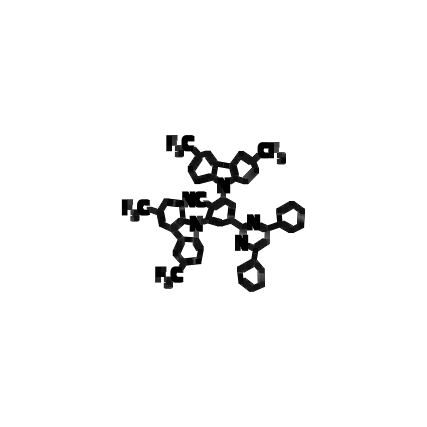 N#Cc1c(-n2c3ccc(C(F)(F)F)cc3c3cc(C(F)(F)F)ccc32)cc(-c2nc(-c3ccccc3)cc(-c3ccccc3)n2)cc1-n1c2ccc(C(F)(F)F)cc2c2cc(C(F)(F)F)ccc21